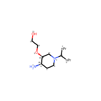 CCCC(CCC)N1CC[C@@H](N)[C@@H](OCCO)C1